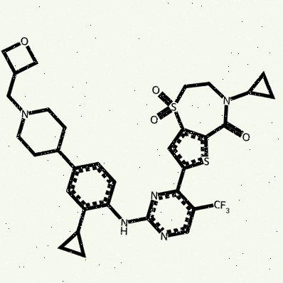 O=C1c2sc(-c3nc(Nc4ccc(C5CCN(CC6COC6)CC5)cc4C4CC4)ncc3C(F)(F)F)cc2S(=O)(=O)CCN1C1CC1